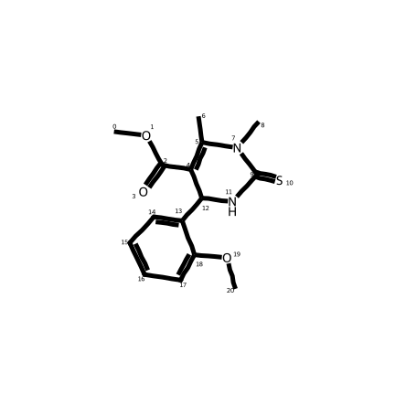 COC(=O)C1=C(C)N(C)C(=S)NC1c1ccccc1OC